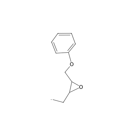 [CH2]CC1OC1COc1ccccc1